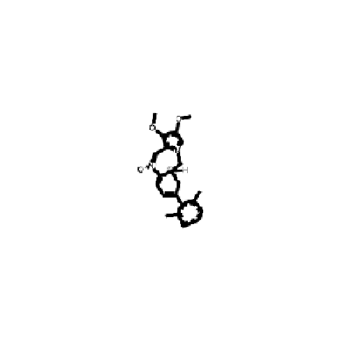 COc1cn2c(c1OC)C=[N+]([O-])C1=CC=C(c3c(C)cccc3C)C[C@H]1C2